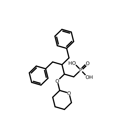 O=P(O)(O)CC(OC1CCCCO1)C(Cc1ccccc1)Cc1ccccc1